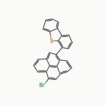 Brc1cc2cccc3c(-c4cccc5c4sc4ccccc45)cc4cccc1c4c23